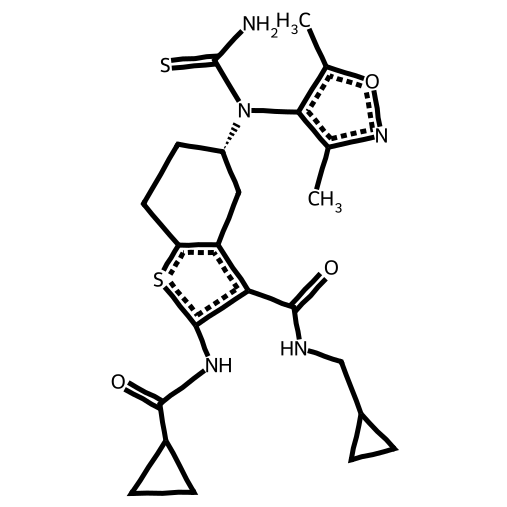 Cc1noc(C)c1N(C(N)=S)[C@H]1CCc2sc(NC(=O)C3CC3)c(C(=O)NCC3CC3)c2C1